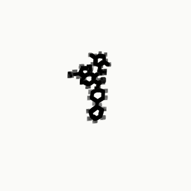 Cc1ccc(C)c(Nc2c(C(=O)N3CCC(c4ccccc4)CC3)cnc3c(Br)cnn23)c1